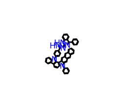 N=C(/N=c1/nc(-c2ccccc2)c2ccccc2[nH]1)c1ccc(-n2c3ccccc3c3ccc4c(c5cc6cc7ccccc7cc6cc5n4-c4ccccc4)c32)cc1